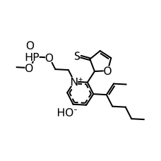 CC=C(CCCC)c1ccc[n+](CCO[PH](=O)OC)c1C1OC=CC1=S.[OH-]